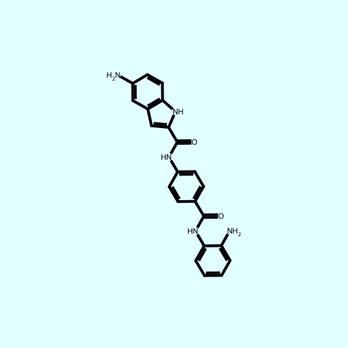 Nc1ccc2[nH]c(C(=O)Nc3ccc(C(=O)Nc4ccccc4N)cc3)cc2c1